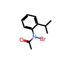 CC(=O)N(Br)c1ccccc1C(C)C